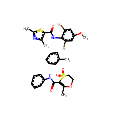 CC1=C(C(=O)Nc2ccccc2)S(=O)(=O)CCO1.Cc1ccccc1.Cc1nc(C(F)(F)F)c(C(=O)Nc2c(Br)cc(OC(F)(F)F)cc2Br)s1